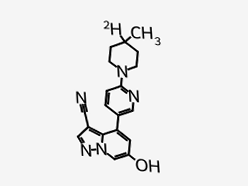 [2H]C1(C)CCN(c2ccc(-c3cc(O)cn4ncc(C#N)c34)cn2)CC1